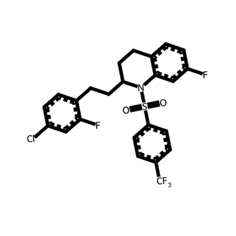 O=S(=O)(c1ccc(C(F)(F)F)cc1)N1c2cc(F)ccc2CCC1CCc1ccc(Cl)cc1F